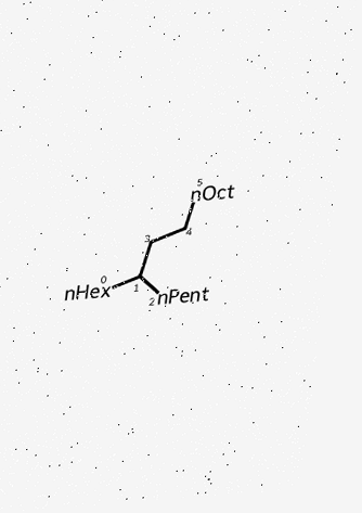 [CH2]CCCCCC(CCCCC)CCCCCCCCCC